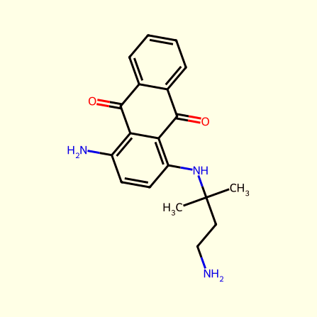 CC(C)(CCN)Nc1ccc(N)c2c1C(=O)c1ccccc1C2=O